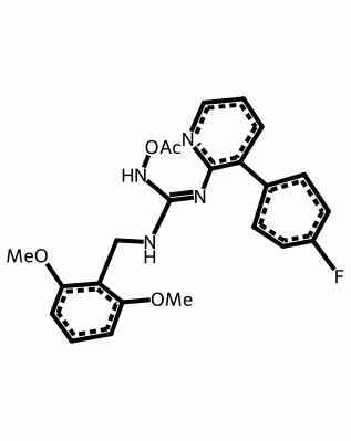 COc1cccc(OC)c1CNC(=Nc1ncccc1-c1ccc(F)cc1)NOC(C)=O